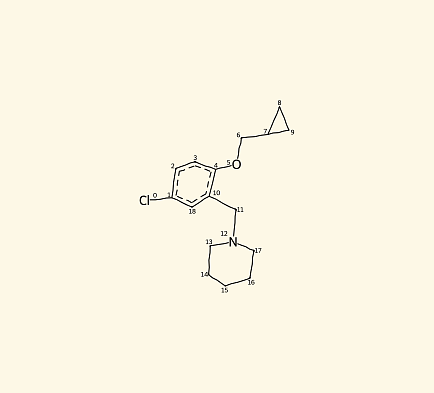 Clc1ccc(OCC2CC2)c(CN2CCCCC2)c1